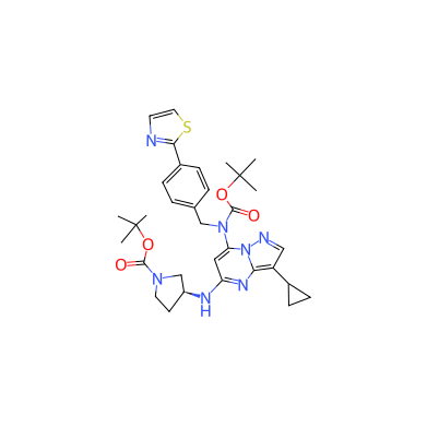 CC(C)(C)OC(=O)N1CC[C@H](Nc2cc(N(Cc3ccc(-c4nccs4)cc3)C(=O)OC(C)(C)C)n3ncc(C4CC4)c3n2)C1